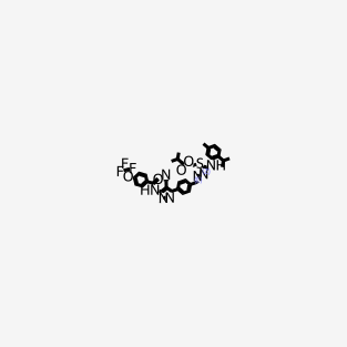 Cc1ccc(C(C)C)c(N/C(=N/N=C/c2ccc(-c3nn(C)c(NC(=O)c4ccc(OC(F)(F)F)cc4)c3C#N)cc2)SCOC(=O)C(C)C)c1